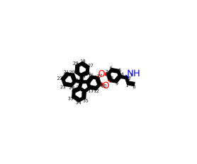 C=CC(=N)c1ccc2c(c1)Oc1cc3c(cc1O2)C(c1ccccc1)(c1ccccc1)c1ccccc1-3